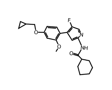 COc1cc(OCC2CC2)ccc1-c1cc(NC(=O)C2CCCCC2)ncc1F